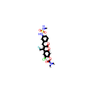 CNS(=O)(=O)Nc1cccc(Cc2c(CF)c3cc(Cl)c(OC(=O)N(C)C)cc3oc2=O)c1